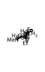 CC/C=C/Oc1cc(O[C@@H](C)[C@@H](C)C[C@@H](F)CNC)nc(-c2noc(C(C)(C)c3ccccc3F)n2)n1